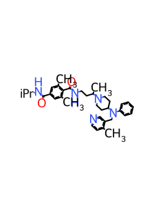 Cc1ccncc1CN(c1ccccc1)C1CCN(C(C)CCNC(=O)c2c(C)cc(C(=O)NC(C)C)cc2C)CC1